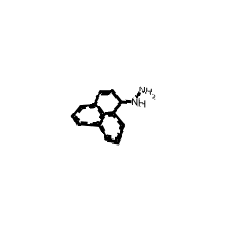 NNC1C=Cc2cccc3cccc1c23